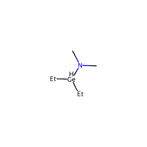 C[CH2][GeH]([CH2]C)[N](C)C